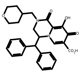 O=C(O)c1cn2c(c(O)c1=O)C(=O)N(CC1CCOCC1)CC2C(c1ccccc1)c1ccccc1